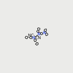 C/C(=C\C(C#N)=C(/CC#N)N(c1ccc(-c2ccccc2)cc1)c1ccc(-c2ccccc2)cc1)n1c2ccc(-n3c4ccccc4c4ccccc43)cc2c2c3ccccc3ccc21